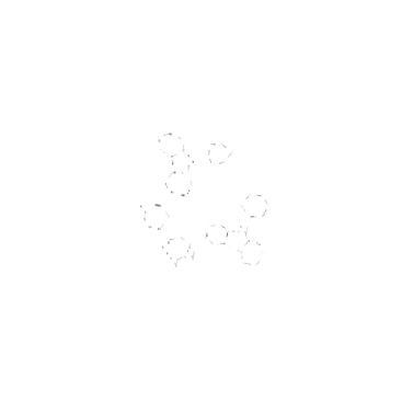 c1ccc(-n2c3ccccc3c3cc(-c4cncc5c4Cc4c(-c6ccc7c(c6)c6ccccc6n7-c6ccccc6)nnnc4-5)ccc32)cc1